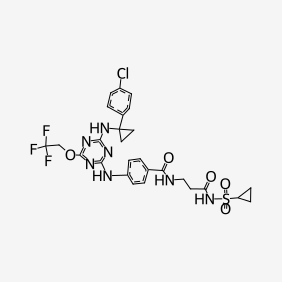 O=C(CCNC(=O)c1ccc(Nc2nc(NC3(c4ccc(Cl)cc4)CC3)nc(OCC(F)(F)F)n2)cc1)NS(=O)(=O)C1CC1